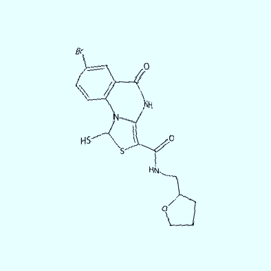 O=C(NCC1CCCO1)C1=C2NC(=O)c3cc(Br)ccc3N2C(S)S1